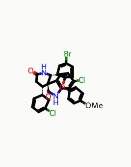 COc1ccc(Oc2ccc(Br)cc2[C@H]2NC(=O)C[C@@H](C3C=CC=C(Cl)C3)[C@]23C(=O)Nc2cc(Cl)ccc23)cc1